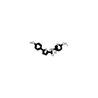 CC1CC2CCN1C[C@@H]2NC(=O)c1ccc(-c2ccc(O)cc2)s1